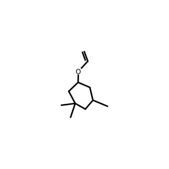 C=COC1CC(C)CC(C)(C)C1